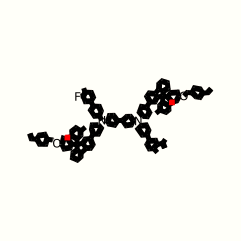 C=Cc1ccc(COc2ccc(C3(c4cc(C)ccc4C)c4ccccc4-c4ccc(-c5ccc(N(c6ccc(-c7ccc(N(c8ccc(-c9ccc(C)c(C(=C)C)c9)cc8)c8ccc(-c9ccc%10c(c9)C(c9ccc(OCc%11ccc(C=C)cc%11)cc9)(c9cc(C)ccc9C)c9ccccc9-%10)cc8)cc7)cc6)c6ccc(-c7ccc(C)c(F)c7)cc6)cc5)cc43)cc2)cc1